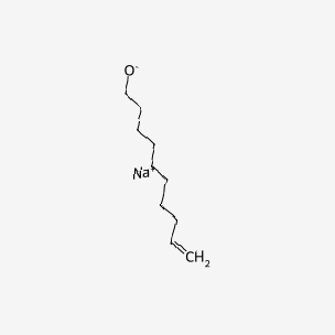 C=CCCCCCCCC[O-].[Na+]